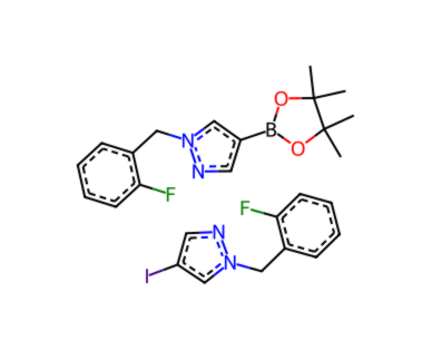 CC1(C)OB(c2cnn(Cc3ccccc3F)c2)OC1(C)C.Fc1ccccc1Cn1cc(I)cn1